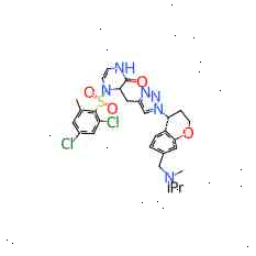 Cc1cc(Cl)cc(Cl)c1S(=O)(=O)N1C=CNC(=O)C1Cc1cn(C2CCOc3cc(CN(C)C(C)C)ccc32)nn1